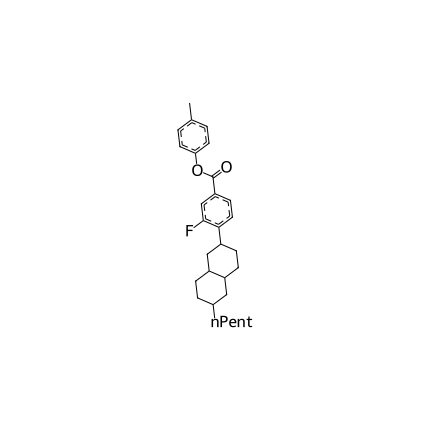 CCCCCC1CCC2CC(c3ccc(C(=O)Oc4ccc(C)cc4)cc3F)CCC2C1